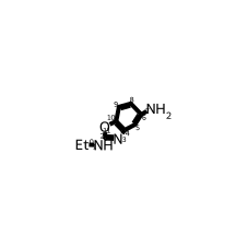 CCNc1nc2cc(N)ccc2o1